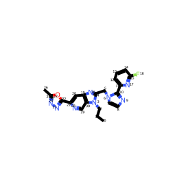 CCCn1c(Cn2ccnc2-c2cccc(F)n2)nc2cc(-c3nnc(C)o3)ncc21